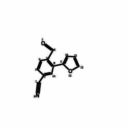 N#Cc1ccc(C=O)c(-c2ccco2)c1